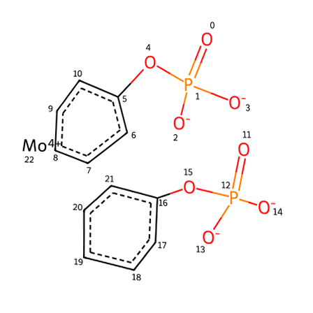 O=P([O-])([O-])Oc1ccccc1.O=P([O-])([O-])Oc1ccccc1.[Mo+4]